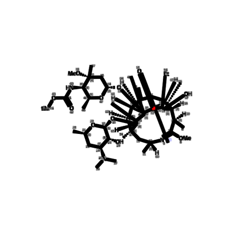 C=C1CO[C@@H]2[C@@H](C)/C(OC)=N\[C@H](C)C[C@@](C)(OC1)[C@H](O[C@@H]1O[C@H](C)C[C@H](N(C)C)[C@H]1O)[C@@H](C)[C@H](O[C@H]1C[C@@](C)(OC)[C@H](NC(=O)OC(C)(C)C)[C@H](C)O1)[C@@H](C)C(=O)O[C@H](CC)[C@@]2(C)O